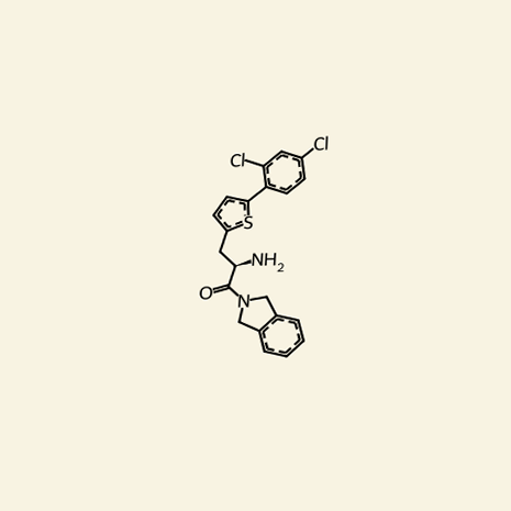 N[C@H](Cc1ccc(-c2ccc(Cl)cc2Cl)s1)C(=O)N1Cc2ccccc2C1